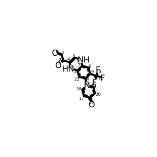 O=CC(=O)C1=CNc2cc(C(F)(F)F)c(-n3ccc(=O)cc3)cc2N1